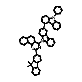 CC1(C)c2ccccc2-c2ccc(-c3nc(-n4c5ccccc5c5cc(-c6cccc7c6c6ccccc6n7-c6ccccc6)ccc54)c4ccc5ccccc5c4n3)cc21